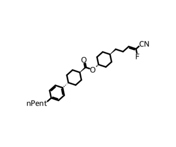 CCCCCc1ccc([C@H]2CC[C@H](C(=O)O[C@H]3CC[C@H](CCC=C(F)C#N)CC3)CC2)cc1